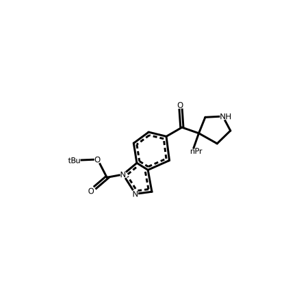 CCCC1(C(=O)c2ccc3c(cnn3C(=O)OC(C)(C)C)c2)CCNC1